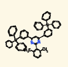 Cc1cccc(C)c1-c1nc(-c2cccc([Si](c3ccccc3)(c3ccccc3)c3ccccc3)c2)cc(-c2cccc([Si](c3ccccc3)(c3ccccc3)c3ccccc3)c2)n1